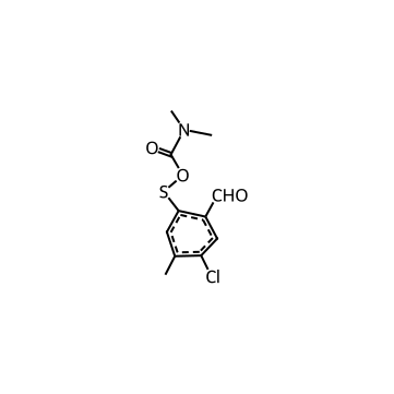 Cc1cc(SOC(=O)N(C)C)c(C=O)cc1Cl